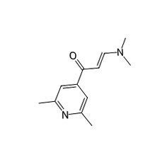 Cc1cc(C(=O)/C=C/N(C)C)cc(C)n1